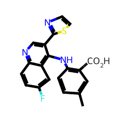 Cc1ccc(Nc2c(-c3nccs3)cnc3ccc(F)cc23)c(C(=O)O)c1